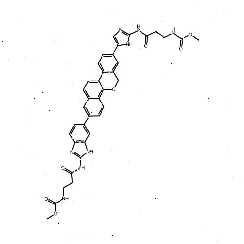 COC(=O)NCCC(=O)Pc1ncc(-c2ccc3c(c2)COc2c-3ccc3cc(-c4ccc5nc(PC(=O)CCNC(=O)OC)[nH]c5c4)ccc23)[nH]1